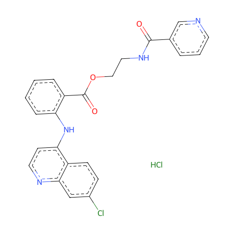 Cl.O=C(NCCOC(=O)c1ccccc1Nc1ccnc2cc(Cl)ccc12)c1cccnc1